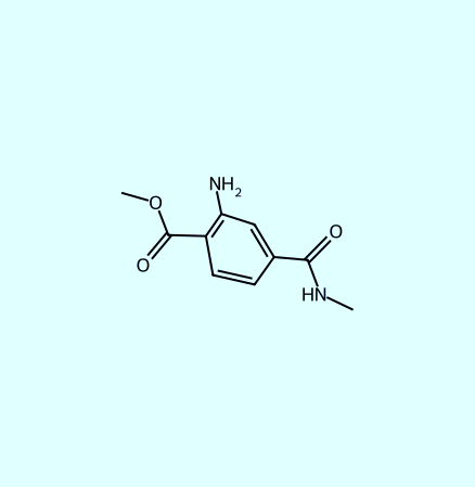 CNC(=O)c1ccc(C(=O)OC)c(N)c1